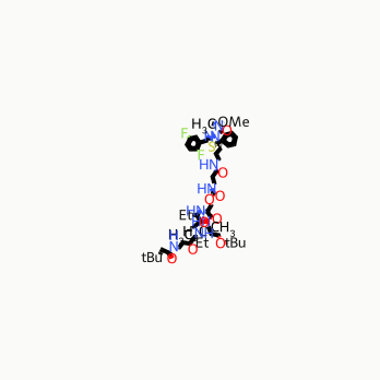 CCC(NC(COC(=O)NCCC(=O)NCCC[C@@]1(c2ccccc2)SC(c2cc(F)ccc2F)=NN1C(=O)N(C)OC)C(=O)NC(C)(C)CCOC(C)(C)C)C(=O)CNC(C)(CC)C(=O)CCNC(=O)CC(C)(C)C